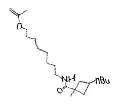 C=C(C)OCCCCCCCCNC(=O)C1(C)CC(CCCC)C1